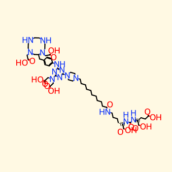 O=C(O)CC[C@H](NC(=O)N[C@@H](CCCCNC(=O)CCCCCCCCCCN1CCN(c2nc(Nc3ccc(CC4CN(CC(=O)O)CCNCCNCCN4CC(=O)O)cc3)nc(N(CC(=O)O)CC(=O)O)n2)CC1)C(=O)O)C(=O)O